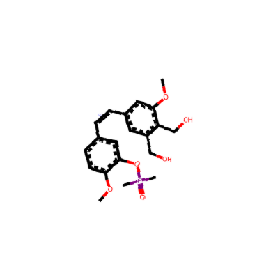 COc1ccc(/C=C\c2cc(CO)c(CO)c(OC)c2)cc1OP(C)(C)=O